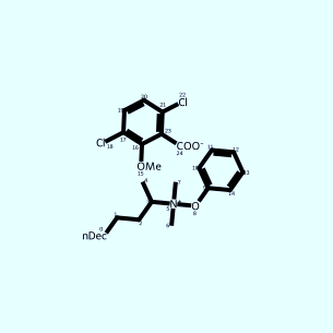 CCCCCCCCCCCCC(C)[N+](C)(C)Oc1ccccc1.COc1c(Cl)ccc(Cl)c1C(=O)[O-]